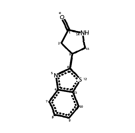 O=C1CC(c2nc3ccccc3s2)CN1